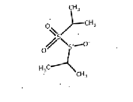 CC(C)[S+]([O-])S(=O)(=O)C(C)C